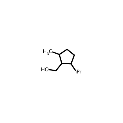 CC(C)C1CCC(C)C1CO